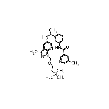 Cc1cncc(C(=O)Nc2cccc([C@H](C)Nc3cnc4c(c3)c(C)nn4COCC[Si](C)(C)C)c2)c1